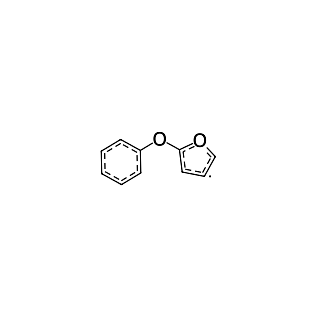 [c]1coc(Oc2ccccc2)c1